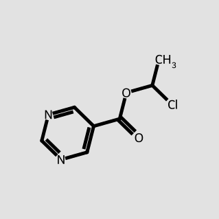 CC(Cl)OC(=O)c1cncnc1